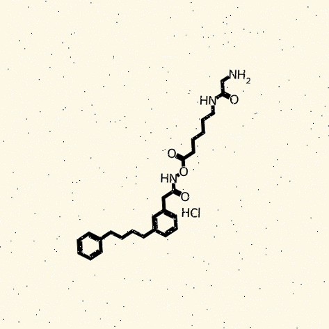 Cl.NCC(=O)NCCCCCC(=O)ONC(=O)Cc1cccc(CCCCc2ccccc2)c1